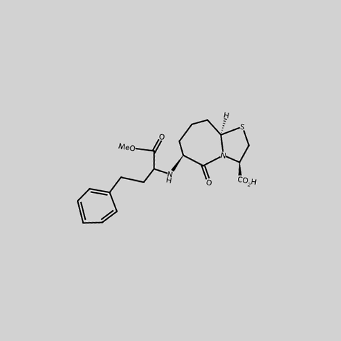 COC(=O)C(CCc1ccccc1)N[C@H]1CCC[C@H]2SC[C@@H](C(=O)O)N2C1=O